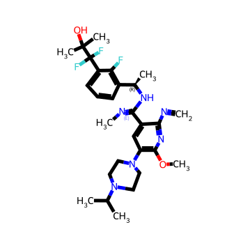 C=Nc1nc(OC)c(N2CCN(C(C)C)CC2)cc1/C(=N\C)N[C@H](C)c1cccc(C(F)(F)C(C)(C)O)c1F